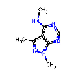 CNc1ncnc2c1c(C)nn2C